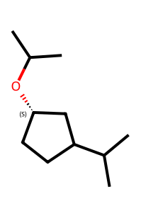 CC(C)O[C@H]1CCC(C(C)C)C1